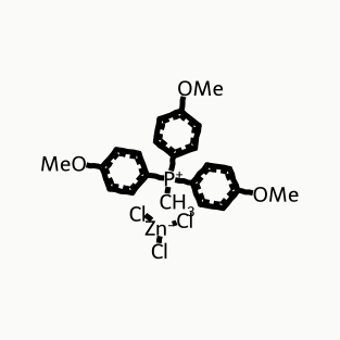 COc1ccc([P+](C)(c2ccc(OC)cc2)c2ccc(OC)cc2)cc1.[Cl][Zn-]([Cl])[Cl]